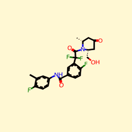 Cc1cc(NC(=O)c2ccc(F)c(C(F)(F)C(=O)N3[C@@H](CO)CC(=O)C[C@H]3C)c2)ccc1F